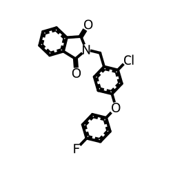 O=C1c2ccccc2C(=O)N1Cc1ccc(Oc2ccc(F)cc2)cc1Cl